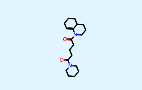 O=C(CCCC(=O)N1CCCC2CCCC=C21)N1CCCCC1